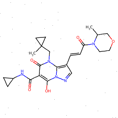 CC1COCCN1C(=O)C=Cc1cnn2c(O)c(C(=O)NC3CC3)c(=O)n(CC3(C)CC3)c12